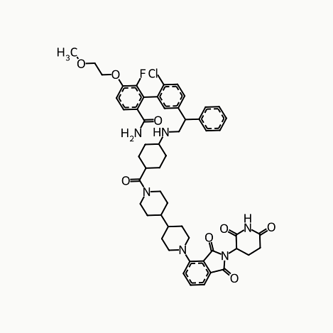 COCCOc1ccc(C(N)=O)c(-c2cc(C(CNC3CCC(C(=O)N4CCC(C5CCN(c6cccc7c6C(=O)N(C6CCC(=O)NC6=O)C7=O)CC5)CC4)CC3)c3ccccc3)ccc2Cl)c1F